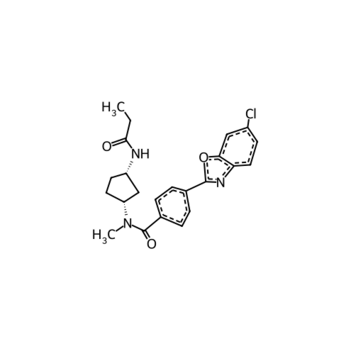 CCC(=O)N[C@H]1CC[C@@H](N(C)C(=O)c2ccc(-c3nc4ccc(Cl)cc4o3)cc2)C1